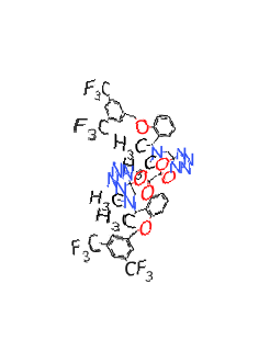 CC(c1ccccc1OCc1cc(C(F)(F)F)cc(C(F)(F)F)c1)N(C)CC1(OC(=O)C(=O)OC2(CN(C)C(C)c3ccccc3OCc3cc(C(F)(F)F)cc(C(F)(F)F)c3)N=NN=N2)N=NN=N1